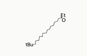 CCC(=O)CCCCCCCCCCCCCCC(C)(C)C